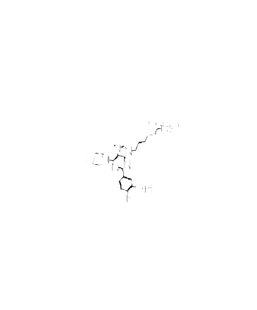 O=C(CCCCCn1cnc2c(N3CCOCC3)nc(-c3ccc(F)c(O)c3)nc21)NO